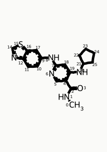 CNC(=O)c1cnc(Nc2ccc3ncsc3c2)cc1NC1CCCC1